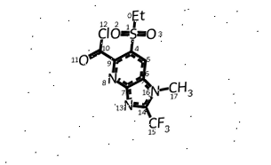 CCS(=O)(=O)c1cc2c(nc1C(=O)Cl)nc(C(F)(F)F)n2C